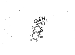 CS(=O)(=O)c1cc2ccccc2s1